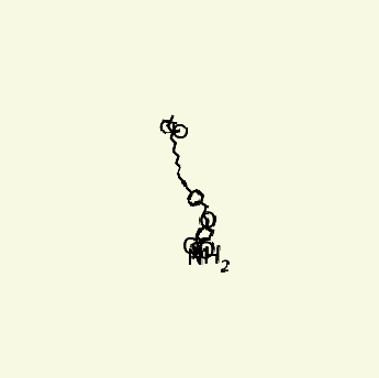 CC(C)(C)OC(=O)CCCCCCCC#Cc1ccc(CCOc2ccc(S(N)(=O)=O)cc2)cc1